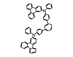 C1=CCC(c2ccc(N(c3ccccc3)c3ccc4c5ccccc5c5ccccc5c4c3)cc2)=CC(c2ccc(N(c3ccccc3)c3ccc4c5ccccc5c5ccccc5c4c3)cc2)=C1